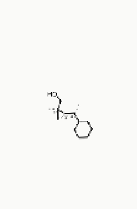 C[C@H](C1CCCCC1)[C@@H]1C[C@@]1(C)CO